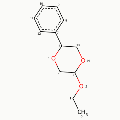 CCOC1COC(c2ccccc2)CO1